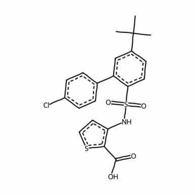 CC(C)(C)c1ccc(S(=O)(=O)Nc2ccsc2C(=O)O)c(-c2ccc(Cl)cc2)c1